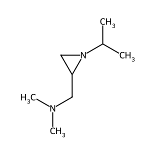 CC(C)N1CC1CN(C)C